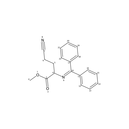 COC(=O)C(CCC#N)N=C(c1ccccc1)c1ccccc1